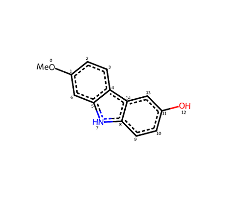 COc1ccc2c(c1)[nH]c1ccc(O)cc12